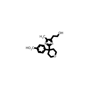 Cc1nc(C2(c3ccc(C(=O)O)cc3)CCOCC2)sc1CCO